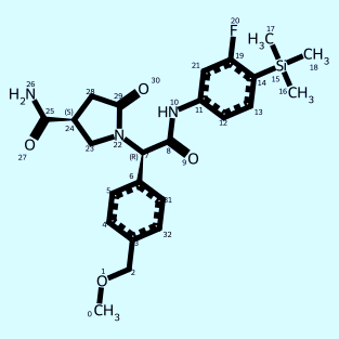 COCc1ccc([C@H](C(=O)Nc2ccc([Si](C)(C)C)c(F)c2)N2C[C@@H](C(N)=O)CC2=O)cc1